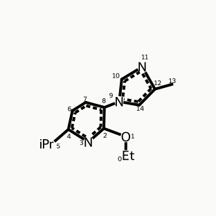 CCOc1nc(C(C)C)ccc1-n1cnc(C)c1